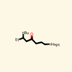 CCCCCCCCCCC(=O)CC(CC)CCCC